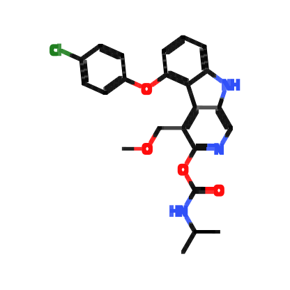 COCc1c(OC(=O)NC(C)C)ncc2[nH]c3cccc(Oc4ccc(Cl)cc4)c3c12